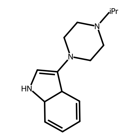 CC(C)N1CCN(C2=CNC3C=CC=CC23)CC1